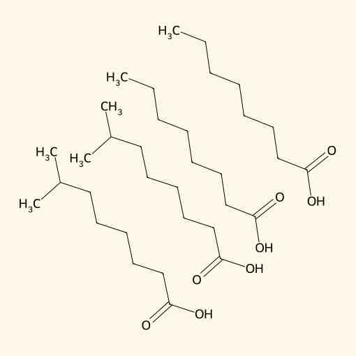 CC(C)CCCCCC(=O)O.CC(C)CCCCCC(=O)O.CCCCCCCC(=O)O.CCCCCCCC(=O)O